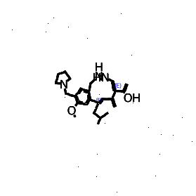 C=C(O)/C1=C/NNCc2cc(CN3CCCC3)c(OC)cc2/C(CC(C)C)=C/C1=C